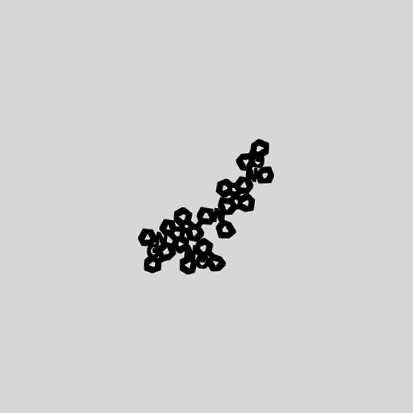 c1ccc(N(c2cccc(-c3cccc4c3-c3ccccc3C43c4cc(N(c5ccccc5)c5cccc6c5oc5ccccc56)ccc4-c4c(N(c5ccccc5)c5cccc6c5oc5ccccc56)cccc43)c2)c2ccc3c(c2)-c2ccccc2C32c3ccccc3-c3cc(N(c4ccccc4)c4cccc5c4oc4ccccc45)ccc32)cc1